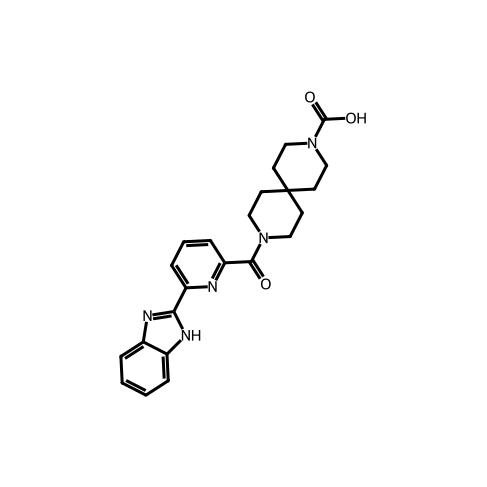 O=C(O)N1CCC2(CC1)CCN(C(=O)c1cccc(-c3nc4ccccc4[nH]3)n1)CC2